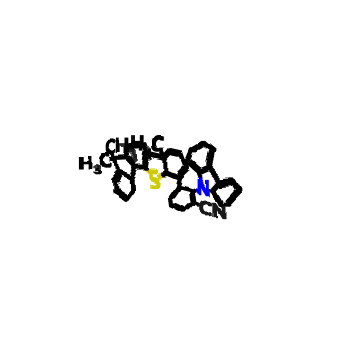 CC1(C)c2ccccc2-c2c1ccc1c2SC2C(c3cccc(C#N)c3-n3c4ccccc4c4ccccc43)=CC=CC12C